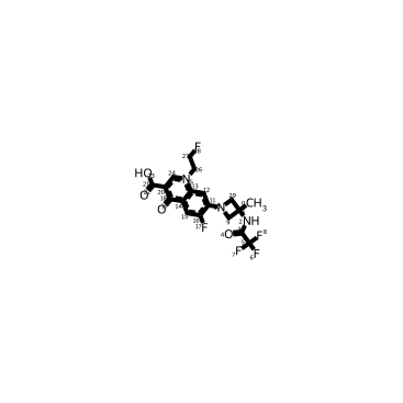 CC1(NC(=O)C(F)(F)F)CN(c2cc3c(cc2F)c(=O)c(C(=O)O)cn3CCF)C1